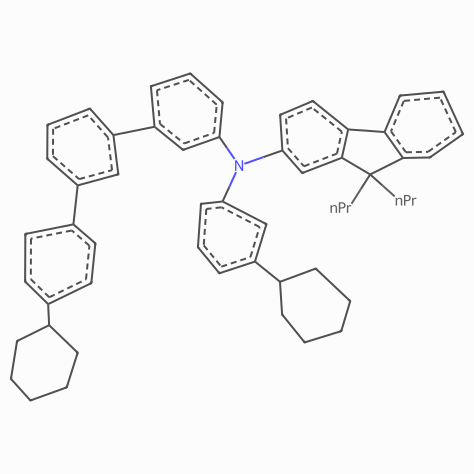 CCCC1(CCC)c2ccccc2-c2ccc(N(c3cccc(-c4cccc(-c5ccc(C6CCCCC6)cc5)c4)c3)c3cccc(C4CCCCC4)c3)cc21